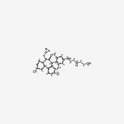 O=C1N(CC2CC2)c2ncc(Cl)cc2-c2ccc(Cl)cc2N1c1c(F)cc(NCCNCCO)cc1F